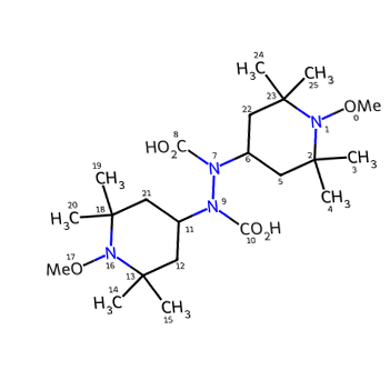 CON1C(C)(C)CC(N(C(=O)O)N(C(=O)O)C2CC(C)(C)N(OC)C(C)(C)C2)CC1(C)C